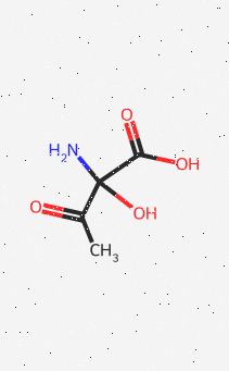 CC(=O)C(N)(O)C(=O)O